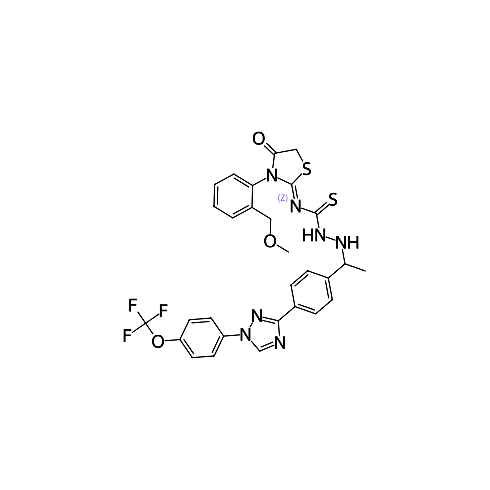 COCc1ccccc1N1C(=O)CS/C1=N\C(=S)NNC(C)c1ccc(-c2ncn(-c3ccc(OC(F)(F)F)cc3)n2)cc1